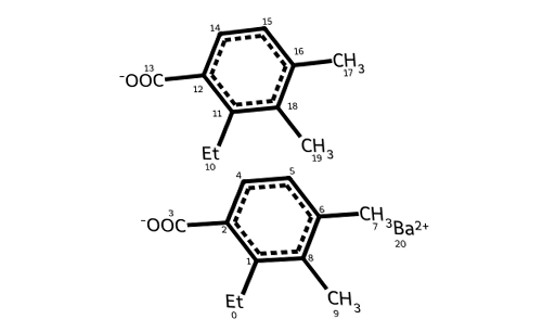 CCc1c(C(=O)[O-])ccc(C)c1C.CCc1c(C(=O)[O-])ccc(C)c1C.[Ba+2]